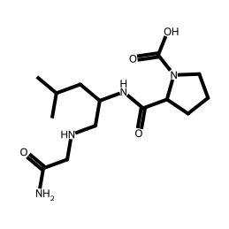 CC(C)CC(CNCC(N)=O)NC(=O)C1CCCN1C(=O)O